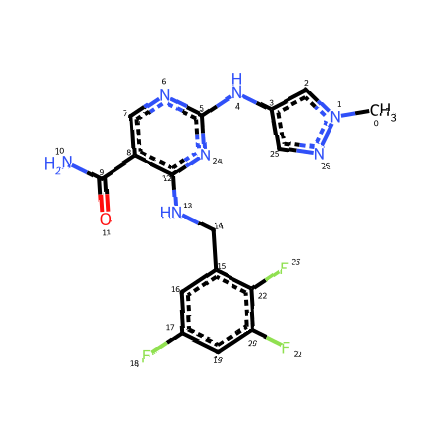 Cn1cc(Nc2ncc(C(N)=O)c(NCc3cc(F)cc(F)c3F)n2)cn1